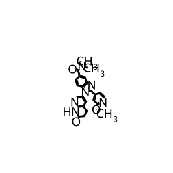 COc1cc(-c2nc3cc(C(=O)N(C)C)ccc3n2-c2cnc3c(c2)CCC(=O)N3)ccn1